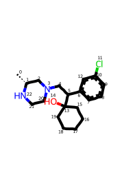 C[C@@H]1CN(CC(c2cccc(Cl)c2)C2(O)CCCCC2)CCN1